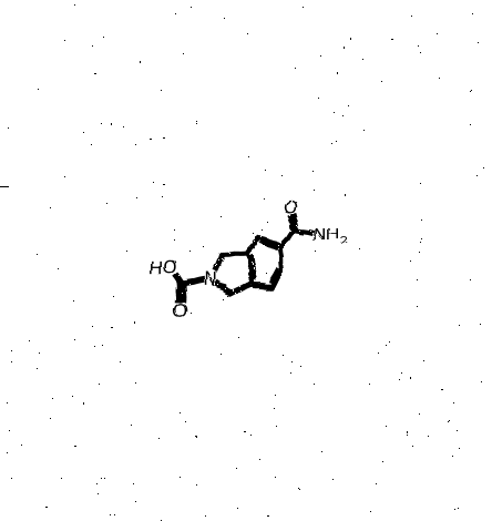 NC(=O)c1ccc2c(c1)CN(C(=O)O)C2